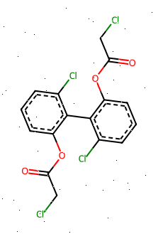 O=C(CCl)Oc1cccc(Cl)c1-c1c(Cl)cccc1OC(=O)CCl